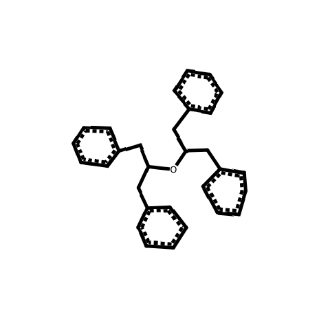 c1ccc(CC(Cc2ccccc2)OC(Cc2ccccc2)Cc2ccccc2)cc1